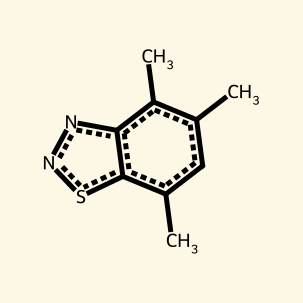 Cc1cc(C)c2snnc2c1C